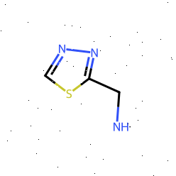 [NH]Cc1nncs1